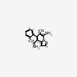 Cc1ccccc1-c1c(C#N)c(N)n2nccc2c1CN